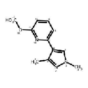 Cc1nn(C)cc1-c1cccc(OC(=O)O)n1